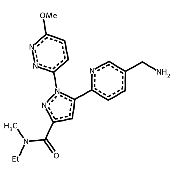 CCN(C)C(=O)c1cc(-c2ccc(CN)cn2)n(-c2ccc(OC)nn2)n1